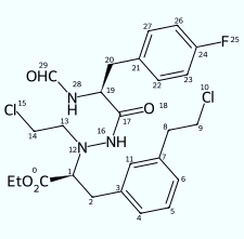 CCOC(=O)[C@H](Cc1cccc(CCCl)c1)N(CCCl)NC(=O)[C@H](Cc1ccc(F)cc1)NC=O